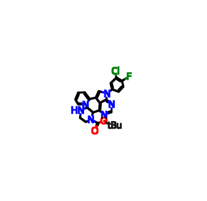 CC(C)(C)OC(=O)N1CCNCC1c1ncnc2c1c(-c1ccccn1)cn2-c1ccc(F)c(Cl)c1